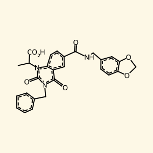 CC(C(=O)O)n1c(=O)n(Cc2ccccc2)c(=O)c2cc(C(=O)NCc3ccc4c(c3)OCO4)ccc21